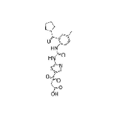 Cc1ccc(NC(=O)Nc2ncc(S(=O)(=O)CC(=O)O)s2)c(C(=O)C2CCCC2)c1